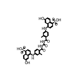 Cc1cc(Nc2ccc(S(=O)(=O)O)c3ccc(O)cc23)ccc1C(=O)NC(=O)NC(=O)c1ccc(Nc2ccc(S(=O)(=O)O)c3ccc(O)cc23)cc1C